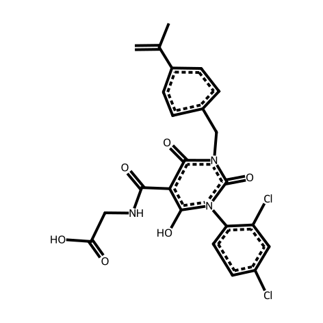 C=C(C)c1ccc(Cn2c(=O)c(C(=O)NCC(=O)O)c(O)n(-c3ccc(Cl)cc3Cl)c2=O)cc1